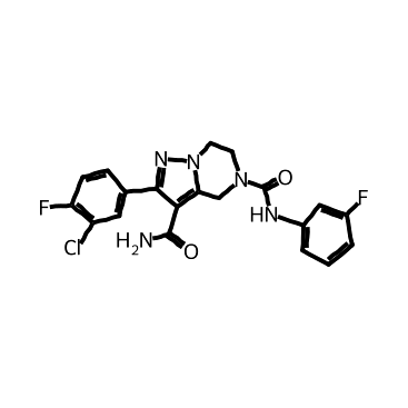 NC(=O)c1c(-c2ccc(F)c(Cl)c2)nn2c1CN(C(=O)Nc1cccc(F)c1)CC2